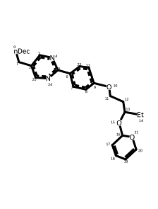 CCCCCCCCCCCc1cnc(-c2ccc(OCCC(CC)OC3C=CC=CO3)cc2)nc1